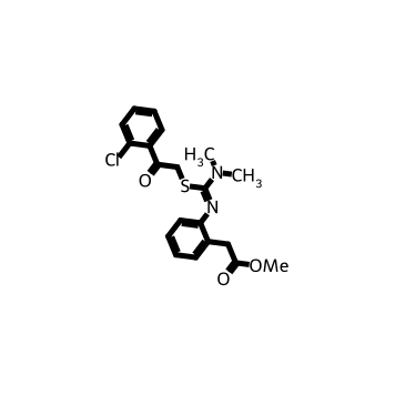 COC(=O)Cc1ccccc1N=C(SCC(=O)c1ccccc1Cl)N(C)C